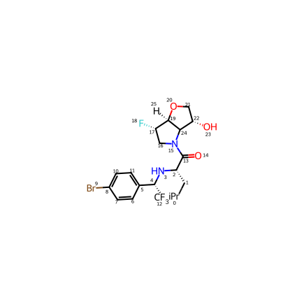 CC(C)C[C@H](N[C@@H](c1ccc(Br)cc1)C(F)(F)F)C(=O)N1C[C@H](F)[C@H]2OC[C@H](O)C21